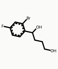 OCCCC(O)c1ccc(F)cc1Br